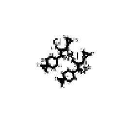 ClCc1c(C2CCC3(CC2)CC3)noc1C1CC1.ClCc1c(C2CCC3(CC2)CC3)noc1C1CC1